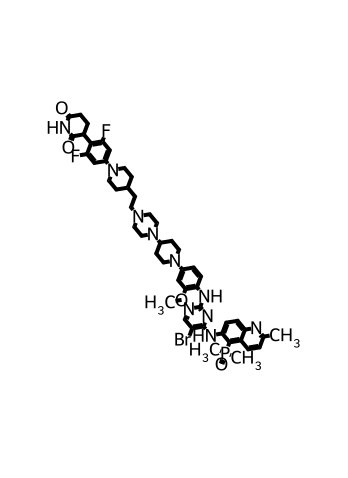 COc1cc(N2CCC(N3CCN(CCC4CCN(c5cc(F)c(C6CCC(=O)NC6=O)c(F)c5)CC4)CC3)CC2)ccc1Nc1ncc(Br)c(Nc2ccc3nc(C)ccc3c2P(C)(C)=O)n1